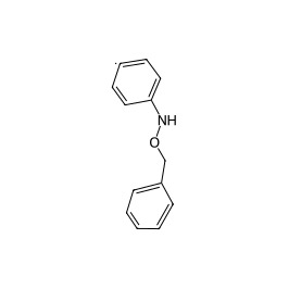 [c]1ccc(NOCc2ccccc2)cc1